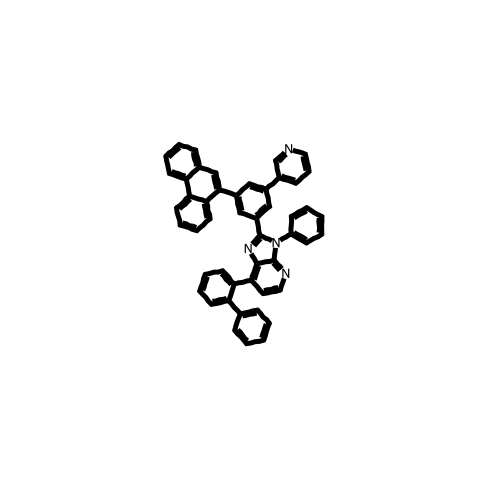 c1ccc(-c2ccccc2-c2ccnc3c2nc(-c2cc(-c4cccnc4)cc(-c4cc5ccccc5c5ccccc45)c2)n3-c2ccccc2)cc1